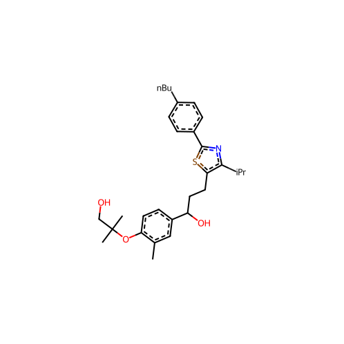 CCCCc1ccc(-c2nc(C(C)C)c(CCC(O)c3ccc(OC(C)(C)CO)c(C)c3)s2)cc1